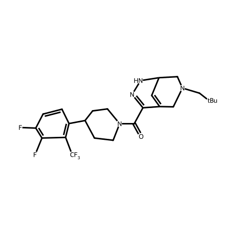 CC(C)(C)CN1CC2=CC(C1)NN=C2C(=O)N1CCC(c2ccc(F)c(F)c2C(F)(F)F)CC1